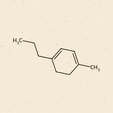 CCCC1=CC=C(C)CC1